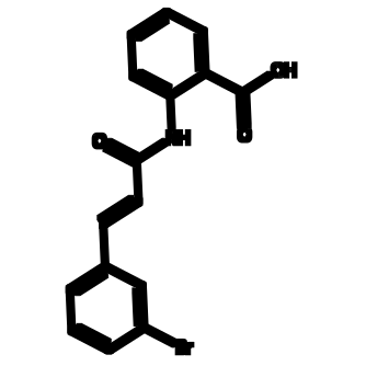 O=C(/C=C/c1cccc(Br)c1)Nc1ccccc1C(=O)O